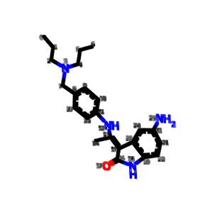 CCCN(CCC)Cc1ccc(NC(C)=C2C(=O)Nc3ccc(N)cc32)cc1